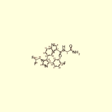 NC(=O)CNC(=O)c1cnc2ccc(-c3c(-c4ccc(F)cc4)ncn3CC(F)F)cn12